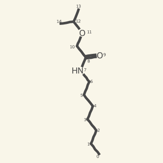 CCCCCCCNC(=O)COC(C)C